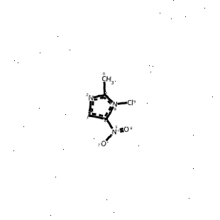 Cc1ncc([N+](=O)[O-])n1Cl